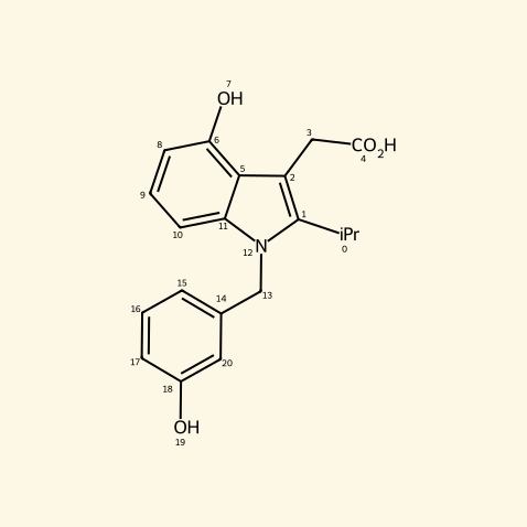 CC(C)c1c(CC(=O)O)c2c(O)cccc2n1Cc1cccc(O)c1